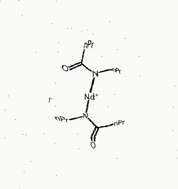 CCCC(=O)[N](CCC)[Nd+][N](CCC)C(=O)CCC.[I-]